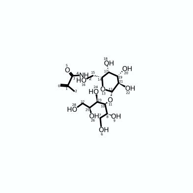 C=C(C)C(N)=O.OC[C@@H](O)[C@@H](O[C@@H]1O[C@H](CO)[C@H](O)[C@H](O)[C@H]1O)[C@H](O)[C@@H](O)CO